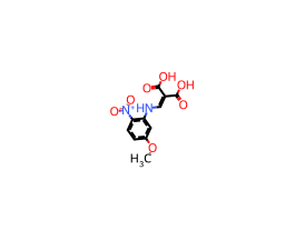 COc1ccc([N+](=O)[O-])c(NC=C(C(=O)O)C(=O)O)c1